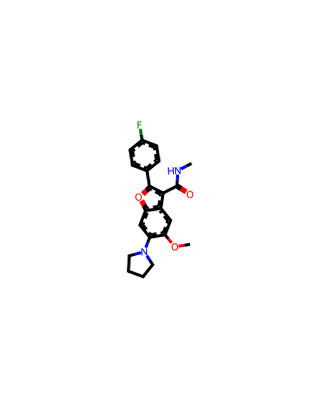 CNC(=O)c1c(-c2ccc(F)cc2)oc2cc(N3CCCC3)c(OC)cc12